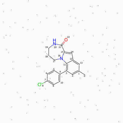 Cc1cc(-c2ccc(Cl)cc2)c2c(c1)cc1n2CCCNC1=O